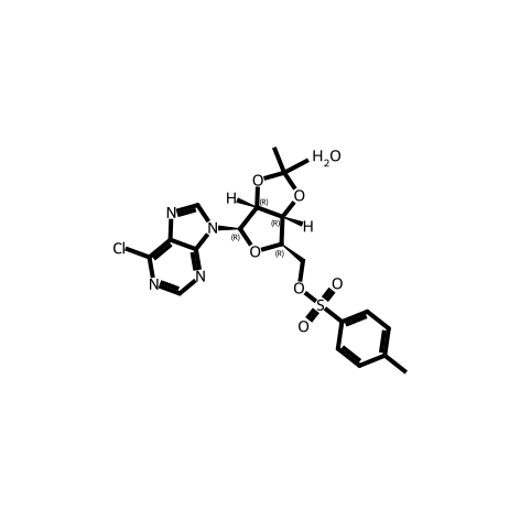 Cc1ccc(S(=O)(=O)OC[C@H]2O[C@@H](n3cnc4c(Cl)ncnc43)[C@@H]3OC(C)(C)O[C@@H]32)cc1.O